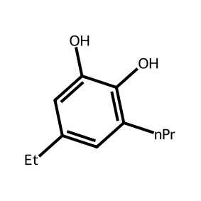 CCCc1cc(CC)cc(O)c1O